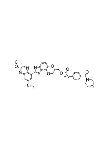 COc1cnc2c(-c3nc4ccc5c(c4s3)OC[C@H](COC(=O)Nc3ccc(C(=O)N4CCOCC4)cc3)O5)cc(C)cc2n1